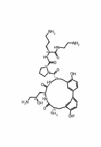 NCCC[C@H](NC(=O)[C@@H]1CCCN1C(=O)[C@@H]1Cc2cc(ccc2O)-c2ccc(O)c(c2)C[C@H](N)C(=O)N[C@@H](C[C@@H](O)CN)C(=O)N1)C(=O)NCCN